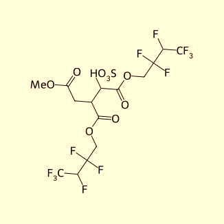 COC(=O)CC(C(=O)OCC(F)(F)C(F)C(F)(F)F)C(C(=O)OCC(F)(F)C(F)C(F)(F)F)S(=O)(=O)O